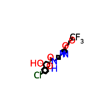 O=C(NC12CC(n3cc(OCCOC(F)(F)F)cn3)(C1)C2)[C@@H]1C[C@@H](O)c2cc(Cl)ccc2O1